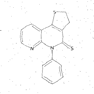 S=c1c2c(c3cccnc3n1-c1ccccc1)SCC2